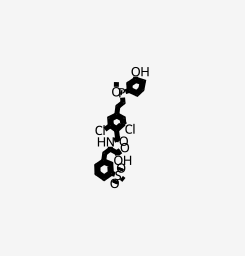 COP(CCc1cc(Cl)c(C(=O)NC(Cc2cccc(S(C)(=O)=O)c2)C(=O)O)c(Cl)c1)c1cccc(O)c1